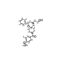 Cc1cc(C(=O)N2CCC3(CC2)CN(CCO)CC(c2ccccc2)O3)ccc1OC(C)C